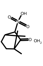 CC12CCC(C(S(=O)(=O)O)C1=O)C2(C)C.O